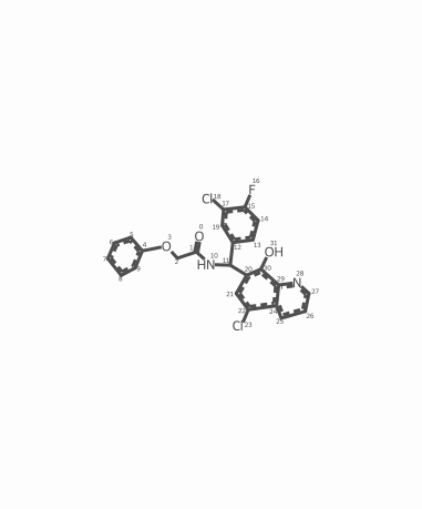 O=C(COc1ccccc1)NC(c1ccc(F)c(Cl)c1)c1cc(Cl)c2cccnc2c1O